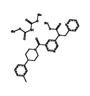 CC(C)(C)OC(=O)NC(=O)OC(C)(C)C.Cc1cccc(C2CCN(C(=O)c3cncc(N(Cc4ccccn4)C(=O)OC(C)(C)C)c3)CC2)c1